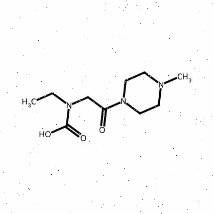 CCN(CC(=O)N1CCN(C)CC1)C(=O)O